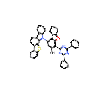 N#Cc1cc(-n2c3ccccc3c3ccc4c5ccccc5sc4c32)c2c(oc3ccccc32)c1-c1nc(-c2ccccc2)nc(-c2ccccc2)n1